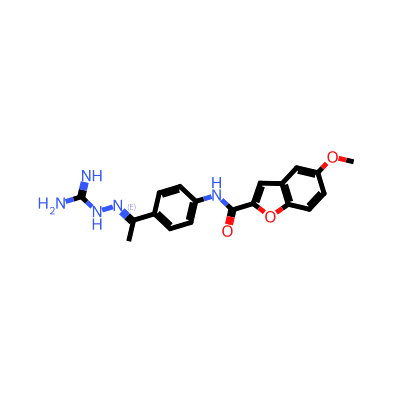 COc1ccc2oc(C(=O)Nc3ccc(/C(C)=N/NC(=N)N)cc3)cc2c1